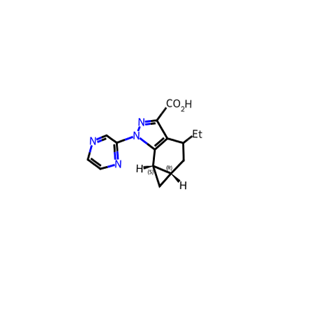 CCC1C[C@@H]2C[C@@H]2c2c1c(C(=O)O)nn2-c1cnccn1